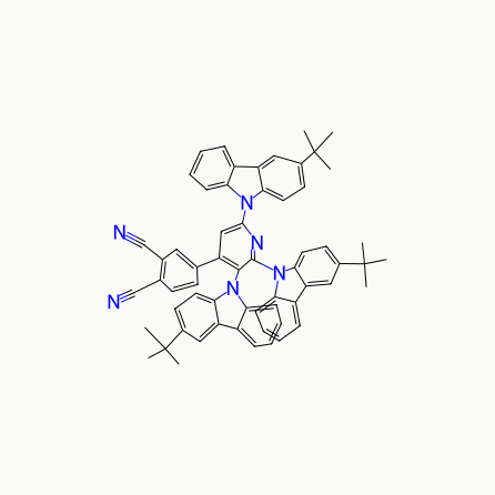 CC(C)(C)c1ccc2c(c1)c1ccccc1n2-c1cc(-c2ccc(C#N)c(C#N)c2)c(-n2c3ccccc3c3cc(C(C)(C)C)ccc32)c(-n2c3ccccc3c3cc(C(C)(C)C)ccc32)n1